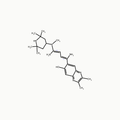 Cc1nc2cc(O)c(/C(N)=C/C=C(\N)N(C)C3CC(C)(C)NC(C)(C)C3)cc2nc1C